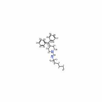 CCCCCC(C)(C)N=CN1CCC(C(c2ccccc2)c2ccccc2)CC1